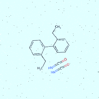 CCc1ccccc1-c1ccccc1CC.N=C=O.N=C=O